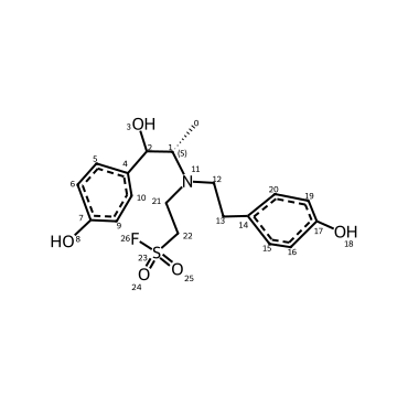 C[C@@H](C(O)c1ccc(O)cc1)N(CCc1ccc(O)cc1)CCS(=O)(=O)F